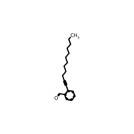 CCCCCCCCCCC#Cc1ccccc1C=O